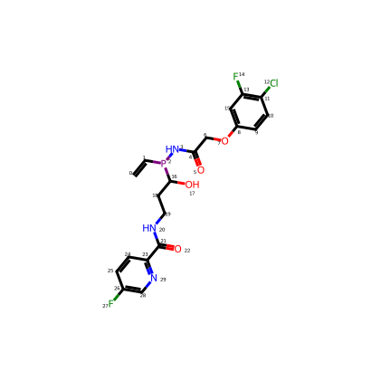 C=CP(NC(=O)COc1ccc(Cl)c(F)c1)C(O)CCNC(=O)c1ccc(F)cn1